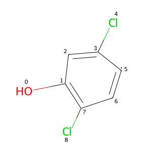 Oc1cc(Cl)[c]cc1Cl